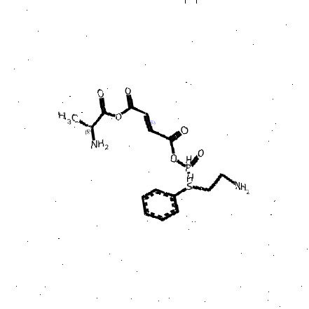 C[C@H](N)C(=O)OC(=O)/C=C/C(=O)O[PH](=O)[SH](CCN)c1ccccc1